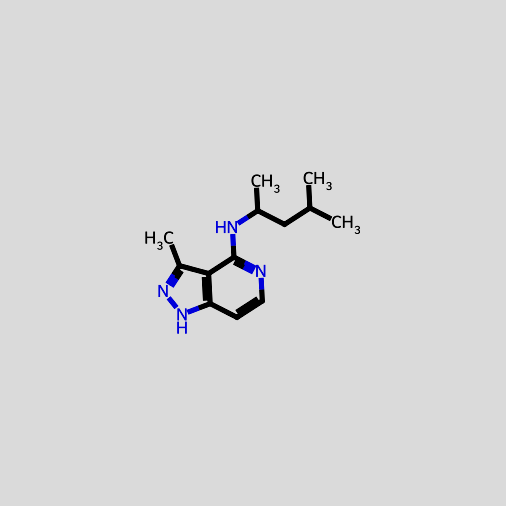 Cc1n[nH]c2ccnc(NC(C)CC(C)C)c12